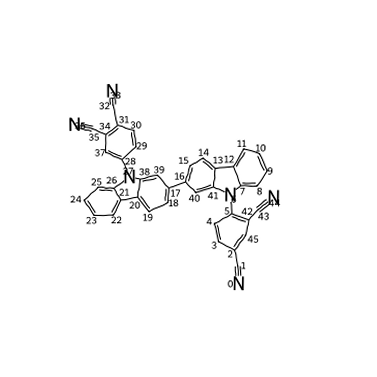 N#Cc1ccc(-n2c3ccccc3c3ccc(-c4ccc5c6ccccc6n(-c6ccc(C#N)c(C#N)c6)c5c4)cc32)c(C#N)c1